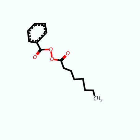 CCCCCCCC(=O)OOC(=O)c1ccccc1